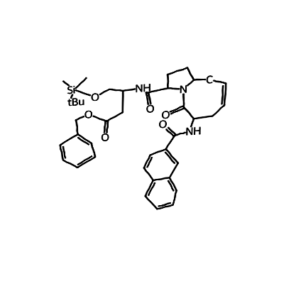 CC(C)(C)[Si](C)(C)OCC(CC(=O)OCc1ccccc1)NC(=O)C1CCC2CC=CCC(NC(=O)c3ccc4ccccc4c3)C(=O)N21